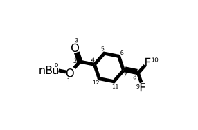 CCCCOC(=O)C1CCC(=C(F)F)CC1